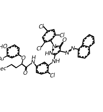 CCCCCCCCCCCCC(Oc1ccc(O)c(C(C)(C)C)c1)C(=O)Nc1ccc(Cl)c(Nc2[nH]n(-c3c(Cl)cc(Cl)cc3Cl)c(=O)c2N=Nc2cccc3ccccc23)c1